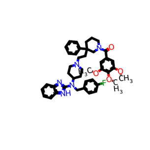 COc1cc(C(=O)N2CCCC(CCN3CCC(N(Cc4ccc(F)cc4)c4nc5ccccc5[nH]4)CC3)(c3ccccc3)C2)cc(OC)c1OC